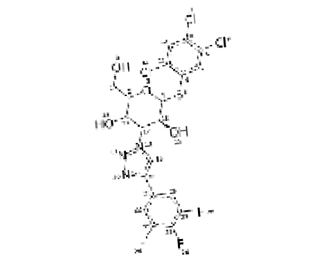 OCC1OC(Sc2cc(Cl)c(Cl)cc2Cl)[C@@H](O)C(n2cc(-c3cc(F)c(F)c(F)c3)nn2)C1O